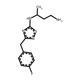 CC(CCN)Nc1nc(Cc2ccc(F)cc2)ns1